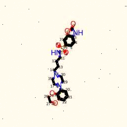 O=c1[nH]c2ccc(S(=O)(=O)NCCCCN3CCN(c4cccc5c4OCCO5)CC3)cc2o1